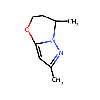 Cc1cc2n(n1)C(C)CCO2